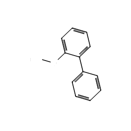 CCCOc1ccccc1-c1cc[c]cc1